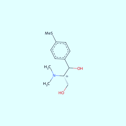 CSc1ccc(C(O)[C@H](CO)N(C)C)cc1